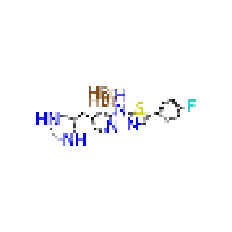 Br.Br.Fc1ccc(-c2cnc(Nc3cc(CC4CNCCNC4)ccn3)s2)cc1